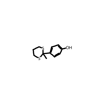 CC1(c2ccc(O)cc2)SCCCS1